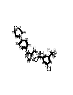 C[C@H](NC(=O)c1cc(Cl)cc(C(F)(F)F)c1)c1ncnn1-c1ccc(N2CCOCC2)cn1